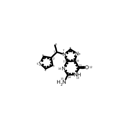 CC(c1ccsc1)n1cnc2c(=O)[nH]c(N)nc21